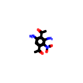 CC(=O)c1cc(N)c(C(C)=O)c(N)c1[N+](=O)[O-]